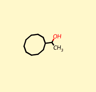 CC(O)C1CCCCCCCCC1